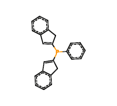 C1=C(P(C2=Cc3ccccc3C2)c2ccccc2)Cc2ccccc21